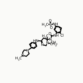 CN1CCN(c2ccc(NC3=NCN(C)C(C)(N(C)C(=O)Nc4cc(NS(C)(=O)=O)ccc4Cl)C3)cc2)CC1